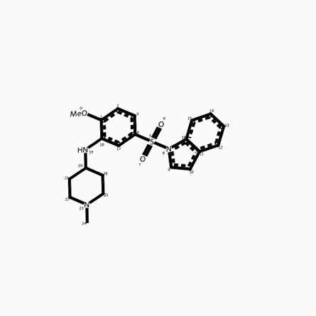 COc1ccc(S(=O)(=O)n2ccc3ccccc32)cc1NC1CCN(C)CC1